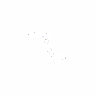 C=C(OC)/C(=C\c1nccc(Oc2ccc(NC(=O)c3c4c(cn(-c5ccc(F)cc5)c3=O)CCO4)cc2F)c1C)OCCN1CCC(=O)CC1